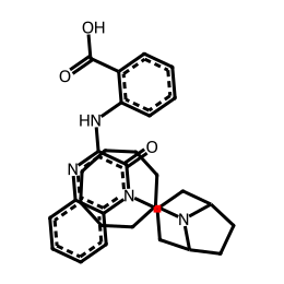 O=C(O)c1ccccc1Nc1nc2ccccc2n(C2CC3CCC(C2)N3C2CCCCCCC2)c1=O